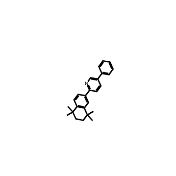 CC1(C)CCC(C)(C)c2cc(-c3ccc(-c4ccccc4)cn3)ccc21